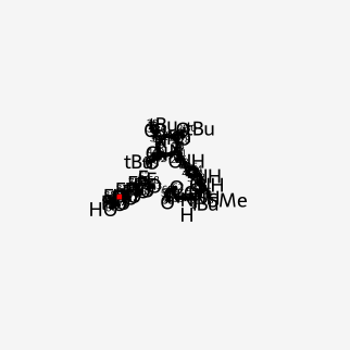 CC[C@H](C)[C@H](NC(=O)[C@H](CCSC)NC(=O)Nc1ccc(CNC(=O)CN2CCN(CC(=O)OC(C)(C)C)CCN(CC(=O)OC(C)(C)C)CCN(CC(=O)OC(C)(C)C)CC2)cc1)C(=O)NCCN1C(=O)C=CC1=O.O=C(O)C(F)(F)F.O=C(O)C(F)(F)F.O=C(O)C(F)(F)F.O=C(O)C(F)(F)F